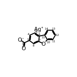 O=C([O-])c1ccc2c(c1)oc1ccccc12.[Ag+]